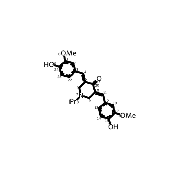 COc1cc(/C=C2\CN(C(C)C)C/C(=C\c3ccc(O)c(OC)c3)C2=O)ccc1O